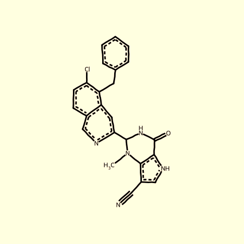 CN1c2c(C#N)c[nH]c2C(=O)NC1c1cc2c(Cc3ccccc3)c(Cl)ccc2cn1